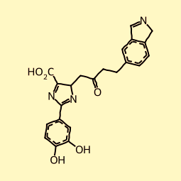 O=C(CCc1ccc2c(c1)C=NC2)CC1N=C(c2ccc(O)c(O)c2)N=C1C(=O)O